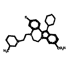 CC1CCCN(CCN2CCn3c(c(C4CCCCC4)c4ccc(C(=O)O)cc43)-c3ccc(F)cc32)C1